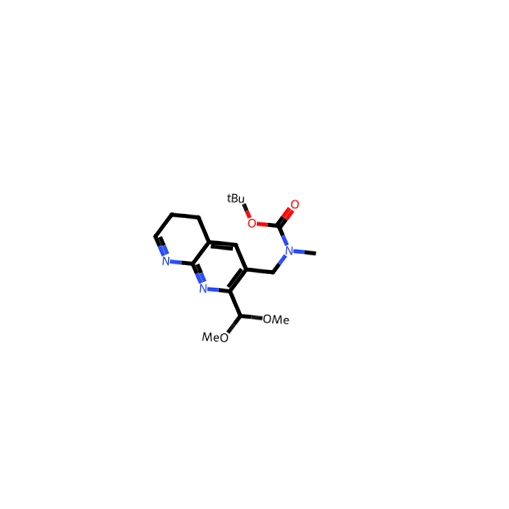 COC(OC)c1nc2c(cc1CN(C)C(=O)OC(C)(C)C)CCC=N2